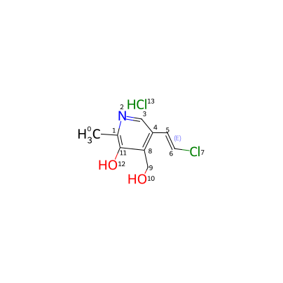 Cc1ncc(/C=C/Cl)c(CO)c1O.Cl